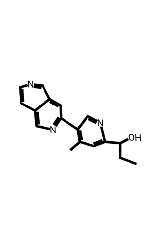 CCC(O)c1cc(C)c(-c2cc3cnccc3cn2)cn1